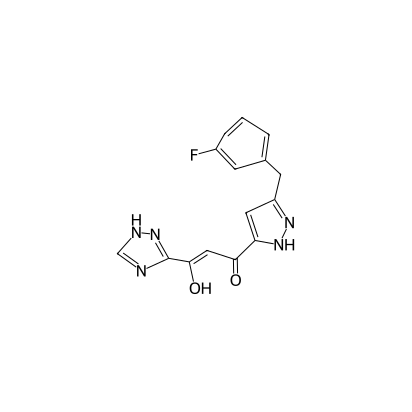 O=C(C=C(O)c1nc[nH]n1)c1cc(Cc2cccc(F)c2)n[nH]1